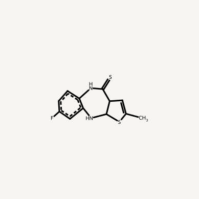 CC1=CC2C(=S)Nc3ccc(F)cc3NC2S1